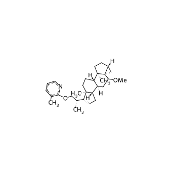 COC1C[C@H]2[C@@H]3CC[C@H]([C@H](C)COc4ncccc4C)[C@@]3(C)CC[C@@H]2[C@@]2(C)CC[C@@H]3C[C@@]132